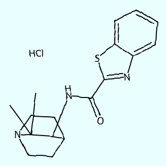 CC1(C)C(NC(=O)c2nc3ccccc3s2)C2CCN1CC2.Cl